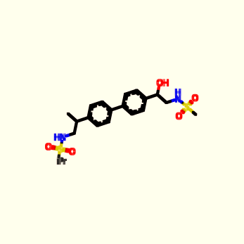 CC(CNS(=O)(=O)C(C)C)c1ccc(-c2ccc(C(O)CNS(C)(=O)=O)cc2)cc1